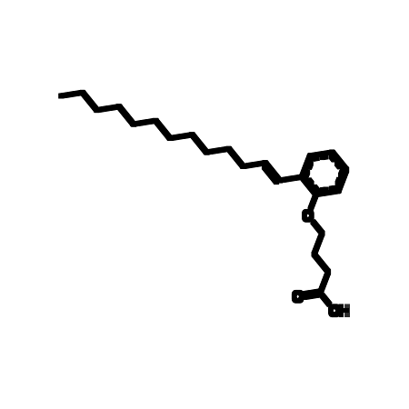 CCCCCCCCCCCC=Cc1ccccc1OCCCC(=O)O